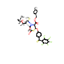 CCS[C@@H]1[C@@H]([C@@H](C)O[Si](C)(C)C(C)(C)C)C(=O)N1C(C(=O)OCc1ccc([N+](=O)[O-])cc1)=C(Oc1ccc(C(=S)c2c(F)c(F)c(F)c(F)c2F)cc1)SC(=O)C(C)(C)C